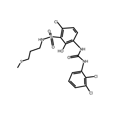 CSCCCNS(=O)(=O)c1c(Cl)ccc(NC(=O)Nc2cccc(Cl)c2Cl)c1O